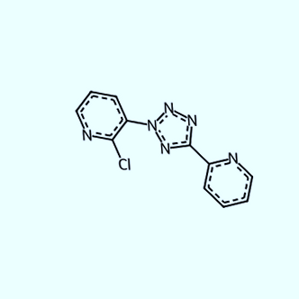 Clc1ncccc1-n1nnc(-c2ccccn2)n1